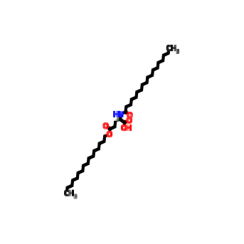 CCCCCCCCCCCCCCCCCC(=O)N[C@@H](CCC(=O)OCCCCCCCCCCCCCCCC)C(=O)O